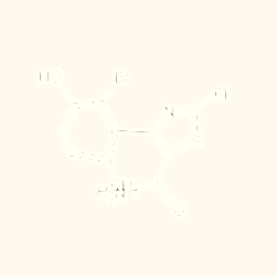 Cc1ccc(O)c(Br)c1-c1nc(Cl)sc1C(N)=O